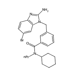 CCCN(C(=O)c1cccc(Cn2c(N)nc3ccc(Br)cc32)c1)C1CCCCC1